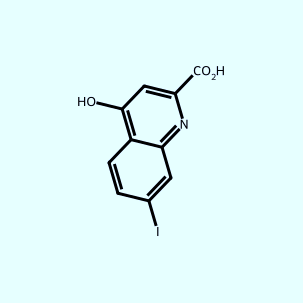 O=C(O)c1cc(O)c2ccc(I)cc2n1